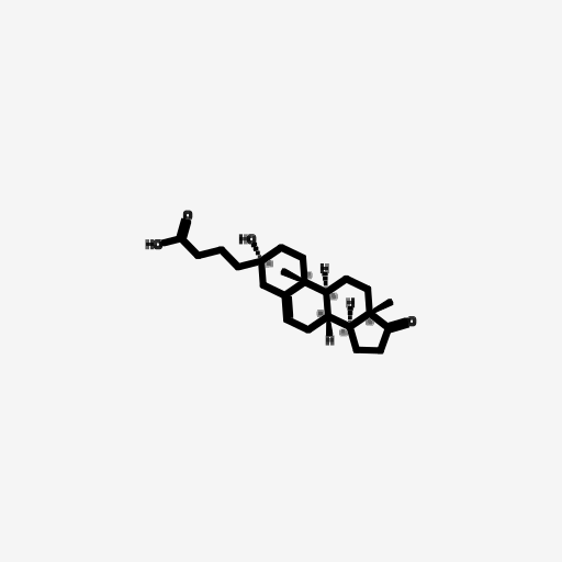 C[C@]12CC[C@](O)(CCCC(=O)O)CC1=CC[C@@H]1[C@@H]2CC[C@]2(C)C(=O)CC[C@@H]12